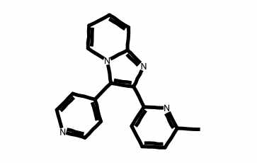 Cc1cccc(-c2nc3ccccn3c2-c2ccncc2)n1